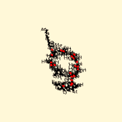 CCc1c2c(nc3ccc(O)cc13)-c1cc3c(c(=O)n1C2)COC(=O)[C@]3(CC)OC(=O)CNC(=O)[C@@H](CSCC1O[C@H]2O[C@H]3C(CO)O[C@H](O[C@@H]4C(CO)O[C@H](O[C@@H]5C(CO)O[C@H](O[C@@H]6C(CSC[C@@H](CC(=O)CCOCCOCCC(C)=O)C(=O)NC)O[C@H](O[C@@H]7C(CO)O[C@@H](O[C@@H]8C(CO)O[C@@H](O[C@H]1[C@H](O)C2O)C(O)[C@H]8O)C(O)[C@H]7O)C(O)[C@H]6O)C(O)[C@H]5O)C(O)[C@H]4O)C(O)[C@H]3O)NC